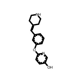 Oc1ccc(Oc2cccc(C=C3CCNCC3)c2)nc1